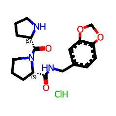 Cl.O=C(NCc1ccc2c(c1)OCO2)[C@@H]1CCCN1C(=O)[C@@H]1CCCN1